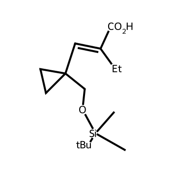 CC/C(=C\C1(CO[Si](C)(C)C(C)(C)C)CC1)C(=O)O